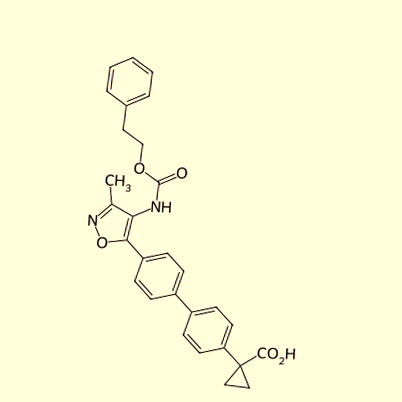 Cc1noc(-c2ccc(-c3ccc(C4(C(=O)O)CC4)cc3)cc2)c1NC(=O)OCCc1ccccc1